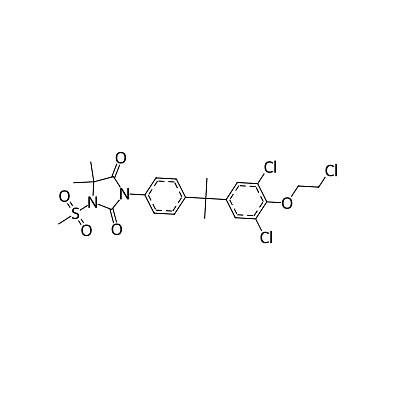 CC(C)(c1ccc(N2C(=O)N(S(C)(=O)=O)C(C)(C)C2=O)cc1)c1cc(Cl)c(OCCCl)c(Cl)c1